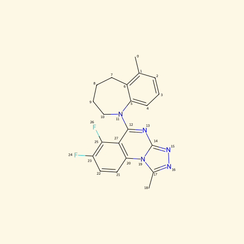 Cc1cccc2c1CCCCN2c1nc2nnc(C)n2c2ccc(F)c(F)c12